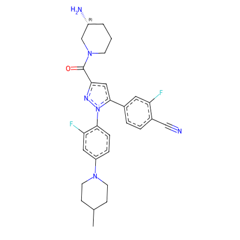 CC1CCN(c2ccc(-n3nc(C(=O)N4CCC[C@@H](N)C4)cc3-c3ccc(C#N)c(F)c3)c(F)c2)CC1